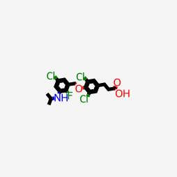 CC(C)Nc1cc(Cl)cc(COc2c(Cl)cc(CCC(=O)O)cc2Cl)c1F